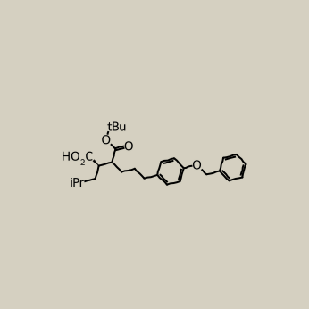 CC(C)C[C@@H](C(=O)O)C(CCCc1ccc(OCc2ccccc2)cc1)C(=O)OC(C)(C)C